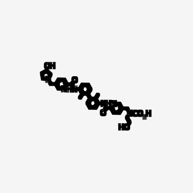 Cc1c(NC(=O)c2ccc(CN3CCC(O)C3)cn2)cccc1-c1cccc(NC(=O)c2ccc(CN(CCO)C(=O)O)cn2)c1C